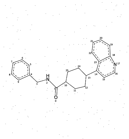 O=C(NCc1ccccc1)C1CCC(c2ccnc3ccccc23)CC1